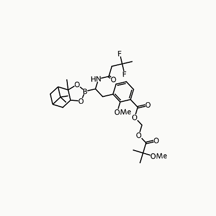 COc1c(CC(NC(=O)CC(C)(F)F)B2OC3CC4CC(C4(C)C)C3(C)O2)cccc1C(=O)OCOC(=O)C(C)(C)OC